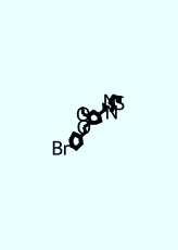 COc1cc(-c2cn3ccsc3n2)ccc1OCc1ccc(Br)cc1